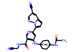 CC(=O)NC12CCC(Nc3cc(-c4ccc5cc(C#N)cnn45)ncc3C(=O)NCC#N)(CC1)CC2